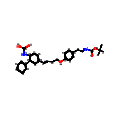 CC(C)(C)OC(=O)NCCc1ccc(OCC/C=C/c2ccc(NC(=O)O)c(-c3ccccc3)c2)cc1